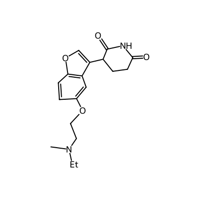 CCN(C)CCOc1ccc2occ(C3CCC(=O)NC3=O)c2c1